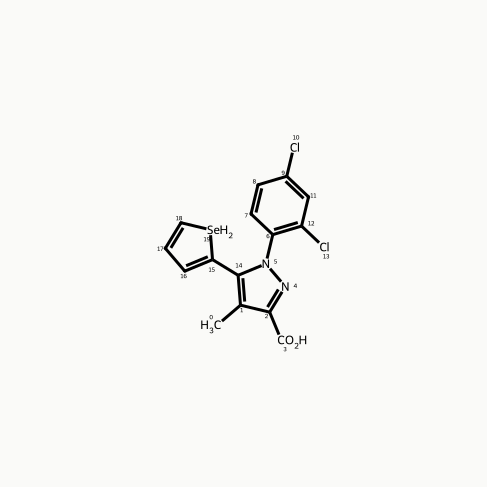 Cc1c(C(=O)O)nn(-c2ccc(Cl)cc2Cl)c1C1=CC=C[SeH2]1